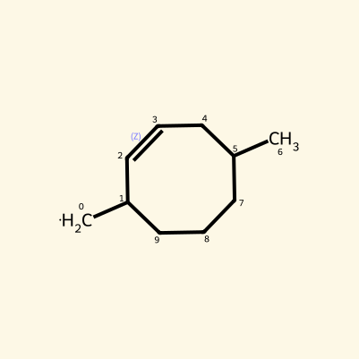 [CH2]C1/C=C\CC(C)CCC1